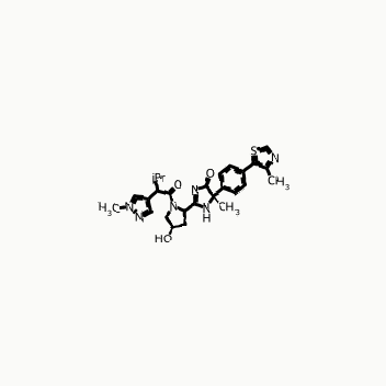 Cc1ncsc1-c1ccc([C@]2(C)NC(C3C[C@@H](O)CN3C(=O)C(c3cnn(C)c3)C(C)C)=NC2=O)cc1